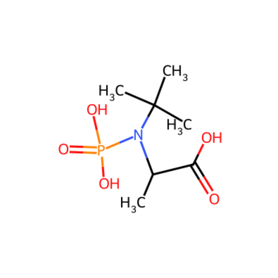 CC(C(=O)O)N(C(C)(C)C)P(=O)(O)O